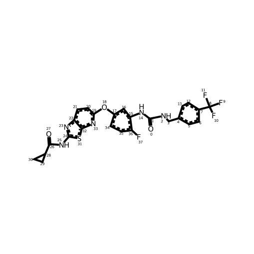 O=C(NCc1ccc(C(F)(F)F)cc1)Nc1cc(Oc2ccc3nc(NC(=O)C4CC4)sc3n2)ccc1F